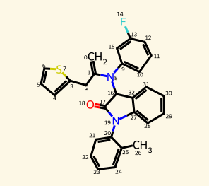 C=C(Cc1cccs1)N(c1cccc(F)c1)C1C(=O)N(c2ccccc2C)c2ccccc21